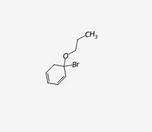 CCCOC1(Br)C=CC=CC1